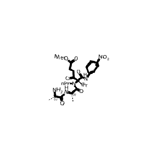 CCCN(C(=O)[C@H](C)NC(=O)[C@H](C)N)[C@](C(=O)CCC(=O)OC)(C(=O)Nc1ccc([N+](=O)[O-])cc1)C(C)C